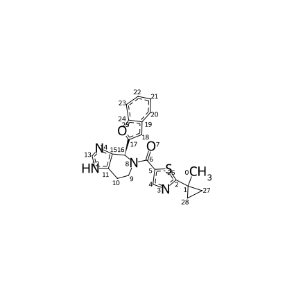 CC1(c2ncc(C(=O)N3CCc4[nH]cnc4[C@H]3c3cc4ccccc4o3)s2)CC1